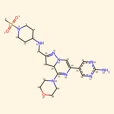 CS(=O)(=O)N1CCC(NCC2=NN3C=C(c4cnc(N)nc4)N=C(N4CCOCC4)C3C2)CC1